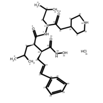 CC(C)C[C@@H](C(=O)NN(CC(C)C)C(=O)CC1CCNCC1)[C@H](CC=Cc1ccccc1)C(=O)NO.Cl